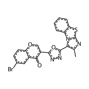 Cc1nc2sc3ccccc3n2c1-c1nnc(-c2coc3ccc(Br)cc3c2=O)o1